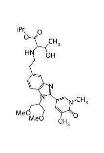 COCC(COC)n1c(-c2cc(C)c(=O)n(C)c2)nc2cc(CCNC(C(=O)OC(C)C)C(C)O)ccc21